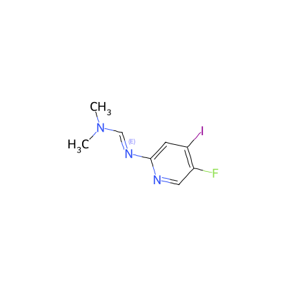 CN(C)/C=N/c1cc(I)c(F)cn1